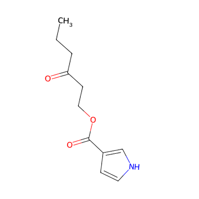 CCCC(=O)CCOC(=O)c1cc[nH]c1